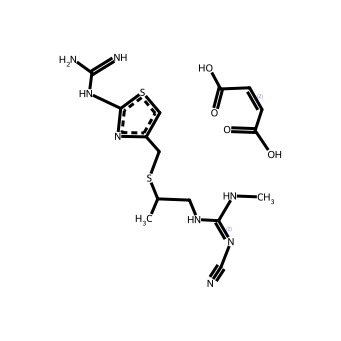 CN/C(=N/C#N)NCC(C)SCc1csc(NC(=N)N)n1.O=C(O)/C=C\C(=O)O